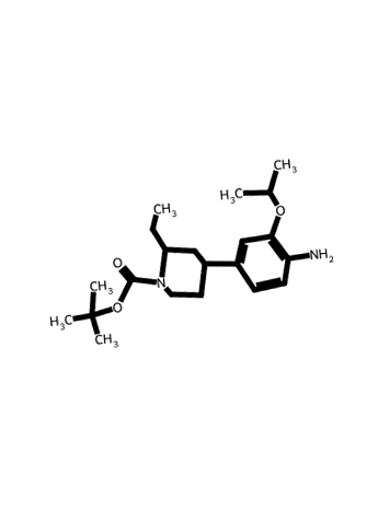 CCC1CC(c2ccc(N)c(OC(C)C)c2)CCN1C(=O)OC(C)(C)C